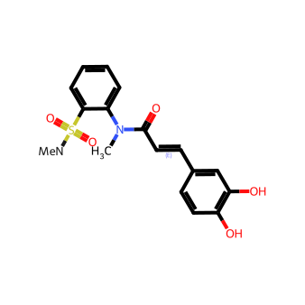 CNS(=O)(=O)c1ccccc1N(C)C(=O)/C=C/c1ccc(O)c(O)c1